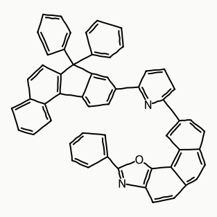 c1ccc(-c2nc3ccc4ccc5ccc(-c6cccc(-c7ccc8c(c7)C(c7ccccc7)(c7ccccc7)c7ccc9ccccc9c7-8)n6)cc5c4c3o2)cc1